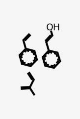 C=CC(=C)C.C=Cc1ccccc1.OC=Cc1ccccc1